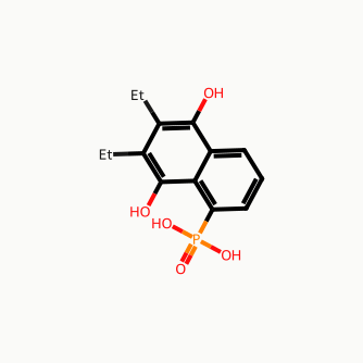 CCc1c(CC)c(O)c2c(P(=O)(O)O)cccc2c1O